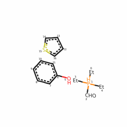 CC[PH](C=O)(CC)CC.Oc1ccccc1.c1ccsc1